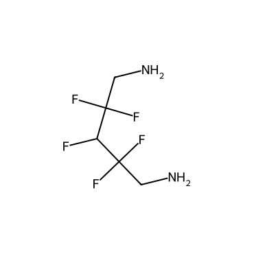 NCC(F)(F)C(F)C(F)(F)CN